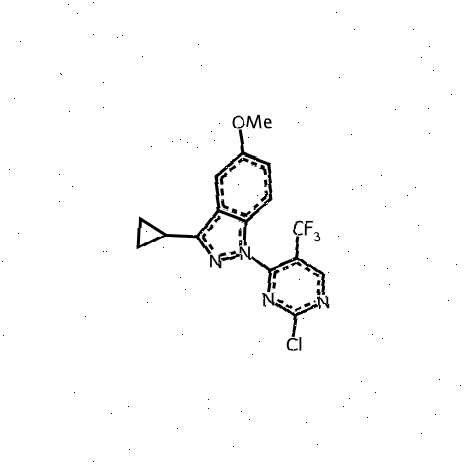 COc1ccc2c(c1)c(C1CC1)nn2-c1nc(Cl)ncc1C(F)(F)F